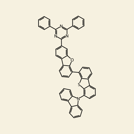 c1ccc(-c2nc(-c3ccccc3)nc(-c3ccc4c(c3)oc3c(-c5cccc6c5sc5c(-n7c8ccccc8c8ccccc87)cccc56)cccc34)n2)cc1